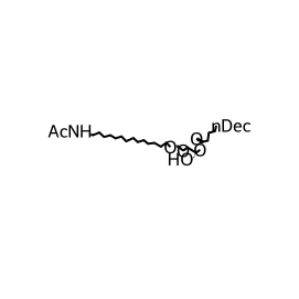 CCCCCCCCCCCCCC(=O)O[C@H](CO)COCOCCCCCCCCCCCCCCNC(C)=O